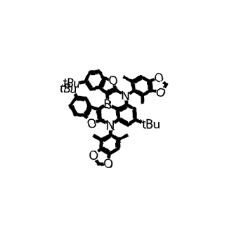 Cc1cc2c(c(C)c1N1c3cc(C(C)(C)C)cc4c3B(c3c1oc1ccc(C(C)(C)C)cc31)c1c(oc3ccc(C(C)(C)C)cc13)N4c1c(C)cc3c(c1C)OCO3)OCO2